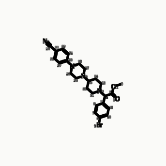 COC(=O)C(c1ccc(Br)cc1)N1CCC(N2CCN(c3ccc(C#N)cc3)CC2)CC1